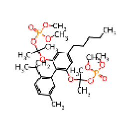 C=C(C)c1ccc(C)cc1-c1c(OC(C)(C)OP(=O)(OC)OC)cc(CCCCC)cc1OC(C)(C)OP(=O)(OC)OC